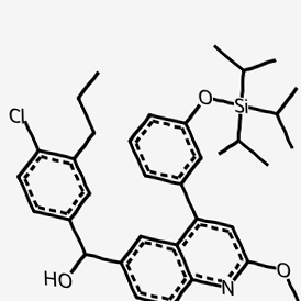 CCCc1cc(C(O)c2ccc3nc(OC)cc(-c4cccc(O[Si](C(C)C)(C(C)C)C(C)C)c4)c3c2)ccc1Cl